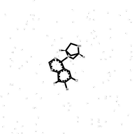 Fc1c(Br)c(Cl)cc2c(N3C[C@@H]4C[C@H]3CN4)ncnc12